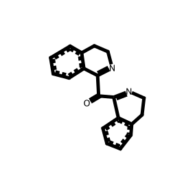 O=C(C1=NCCc2ccccc21)C1=NCCc2ccccc21